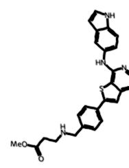 COC(=O)CCNCc1ccc(-c2cc3ncnc(Nc4ccc5[nH]ccc5c4)c3s2)cc1